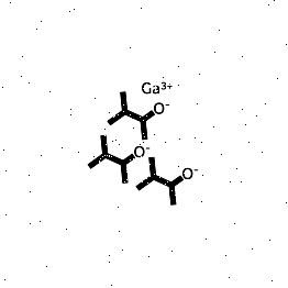 CC(C)C(C)[O-].CC(C)C(C)[O-].CC(C)C(C)[O-].[Ga+3]